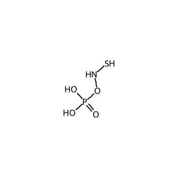 O=P(O)(O)ONS